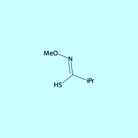 CO/N=C(\S)C(C)C